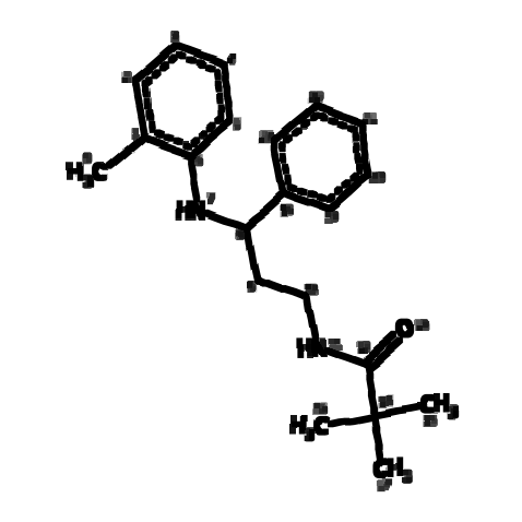 Cc1ccccc1NC(CCNC(=O)C(C)(C)C)c1ccccc1